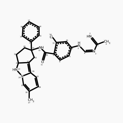 CC(=N)/N=C\Nc1ccc(C(=O)NC2(c3ccccc3)CCC3NN4C=C(C)C=CC4=C3C2)c(Cl)c1